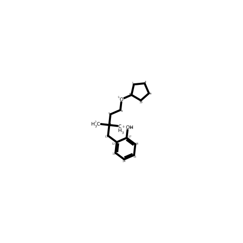 CC(C)(CCOC1CCCC1)Cc1ccccc1O